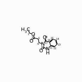 CCOC(=O)CCn1c(=O)[nH]c2ccccc2c1=O